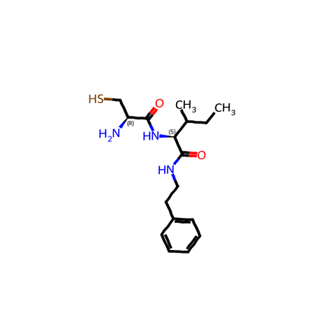 CCC(C)[C@H](NC(=O)[C@@H](N)CS)C(=O)NCCc1ccccc1